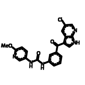 COc1ccc(NC(=O)Nc2cccc(C(=O)c3c[nH]c4ncc(Cl)cc34)c2)cn1